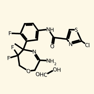 CC1(c2cc(NC(=O)c3csc(Cl)n3)ccc2F)N=C(N)COCC1(F)F.O=CO